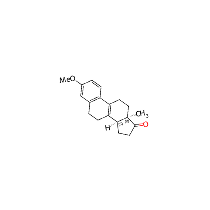 COc1ccc2c(c1)CCC1=C2CC[C@@]2(C)C(=O)CC[C@@H]12